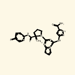 CC1(C(=O)Nc2ccc(F)cn2)CCCN1c1nc(Nc2cc(C(N)=O)[nH]n2)n2cccc2n1